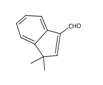 CC1(C)C=C(C=O)c2ccccc21